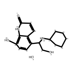 Cl.O=c1ccc2c(C(CO)NC3CCCCC3)ccc(O)c2[nH]1